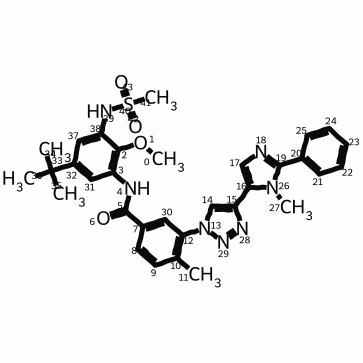 COc1c(NC(=O)c2ccc(C)c(-n3cc(-c4cnc(-c5ccccc5)n4C)nn3)c2)cc(C(C)(C)C)cc1NS(C)(=O)=O